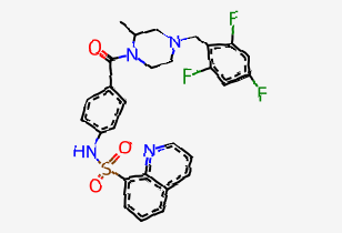 CC1CN(Cc2c(F)cc(F)cc2F)CCN1C(=O)c1ccc(NS(=O)(=O)c2cccc3cccnc23)cc1